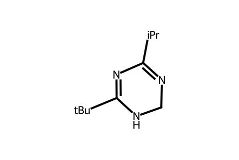 CC(C)C1=NCNC(C(C)(C)C)=N1